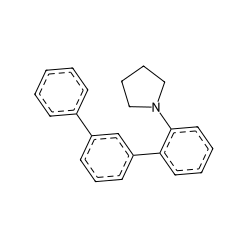 c1ccc(-c2cccc(-c3ccccc3N3CCCC3)c2)cc1